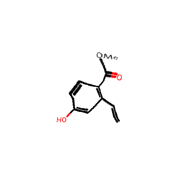 C=Cc1cc(O)ccc1C(=O)OC